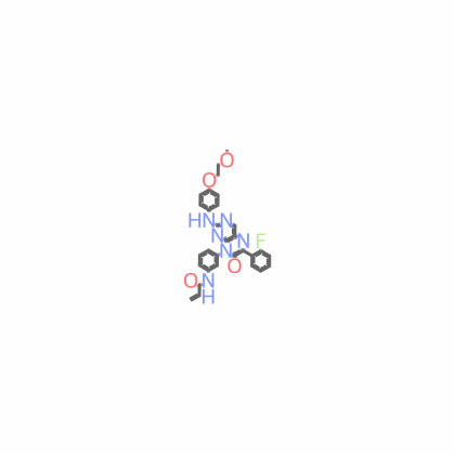 C=CC(=O)Nc1cccc(-n2c(=O)c(-c3ccccc3F)nc3cnc(Nc4ccc(OCCOC)cc4)nc32)c1